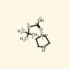 C1CNCCN1.CC(C)(C)OC(=O)O